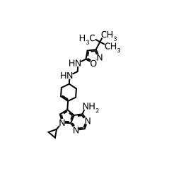 CC(C)(C)c1cc(NCNC2CC=C(c3cn(C4CC4)c4ncnc(N)c34)CC2)on1